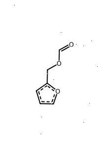 O=COCc1ccco1